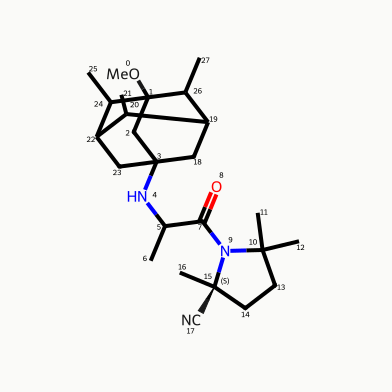 COC12CC3(NC(C)C(=O)N4C(C)(C)CC[C@@]4(C)C#N)CC(C(C)C(C3)C1C)C2C